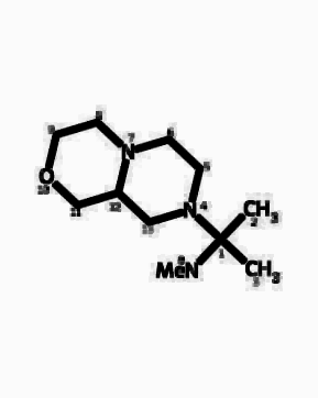 CNC(C)(C)N1CCN2CCOCC2C1